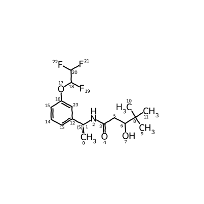 C[C@H](NC(=O)CC(O)C(C)(C)C)c1cccc(OC(F)C(F)F)c1